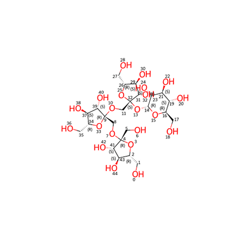 OC[C@H]1O[C@@](CO)(OC[C@@]2(OC[C@@]3(O[C@H]4O[C@H](CO)[C@@H](O)[C@H](O)[C@H]4O)O[C@H](CO)[C@@H](O)[C@@H]3O)O[C@H](CO)[C@@H](O)[C@@H]2O)[C@@H](O)[C@@H]1O